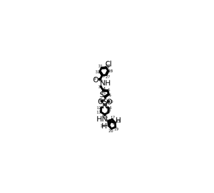 O=C(NCc1ccc(S(=O)(=O)N2CCC(N[C@@H]3C[C@H]4CC[C@@H]3C4)CC2)s1)c1ccc(Cl)cc1